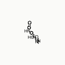 Cc1nc(C)n(CC(=O)N(O)Cc2ccc(Nc3ccc(N4CCCCC4)cc3)cc2)n1